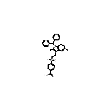 Cc1c(CCS(=O)(=O)c2ccc(C(=O)O)cc2)c2cc(F)ccc2n1C(c1ccccc1)c1ccccc1